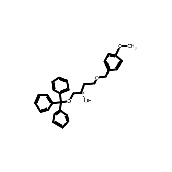 COc1ccc(COCC[C@H](O)COC(c2ccccc2)(c2ccccc2)c2ccccc2)cc1